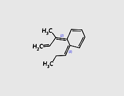 C=C/C(C)=c1/cccc/c1=C/CC